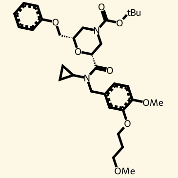 COCCCOc1cc(CN(C(=O)[C@H]2CN(C(=O)OC(C)(C)C)C[C@@H](COc3ccccc3)O2)C2CC2)ccc1OC